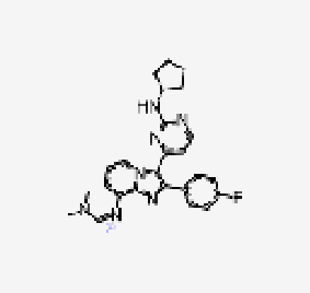 CN(C)/C=N\c1cccn2c(-c3ccnc(NC4CCCC4)n3)c(-c3ccc(F)cc3)nc12